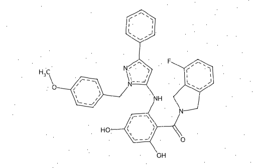 COc1ccc(Cn2nc(-c3ccccc3)cc2Nc2cc(O)cc(O)c2C(=O)N2Cc3cccc(F)c3C2)cc1